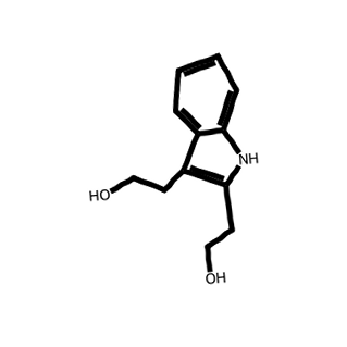 OCCc1[nH]c2ccccc2c1CCO